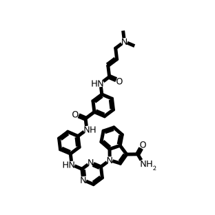 CN(C)CC=CC(=O)Nc1cccc(C(=O)Nc2cccc(Nc3nccc(-n4cc(C(N)=O)c5ccccc54)n3)c2)c1